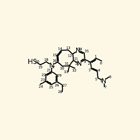 C/C=C(\C=CCN(C)C)C1=NC2C(CC=C=C(N(CCS)c3cc(C)cc(CC)c3)CC2(C)C)N=C1